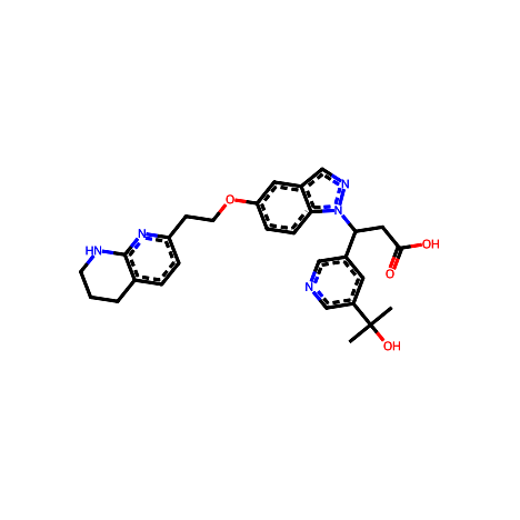 CC(C)(O)c1cncc(C(CC(=O)O)n2ncc3cc(OCCc4ccc5c(n4)NCCC5)ccc32)c1